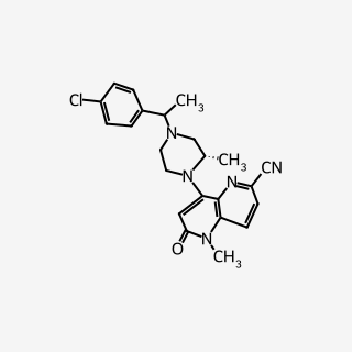 CC(c1ccc(Cl)cc1)N1CCN(c2cc(=O)n(C)c3ccc(C#N)nc23)[C@@H](C)C1